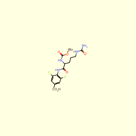 CC(C)(C)OC(=O)NC(CCCNC(N)=O)C(=O)Nc1c(F)cc(C(=O)O)cc1F